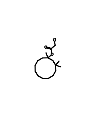 CC1(C)CCCCCCCCCC(C)(OC(=O)CCl)C1